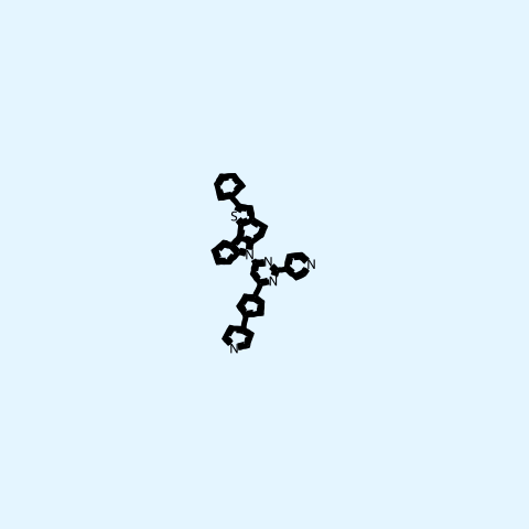 c1ccc(-c2cc3ccc4c(c5ccccc5n4-c4cc(-c5ccc(-c6ccncc6)cc5)nc(-c5ccncc5)n4)c3s2)cc1